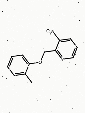 Cc1ccccc1OCc1ncccc1[N+](=O)[O-]